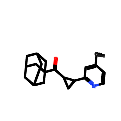 COc1ccnc(C2CC2C(=O)C23CC4CC(CC(C4)C2)C3)c1